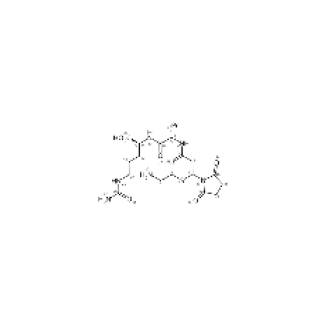 CC(C)[C@H](NC(=O)CC(SCCN)N1C(=O)CCC1=O)C(=O)N[C@@H](CCCNC(N)=O)C(=O)O